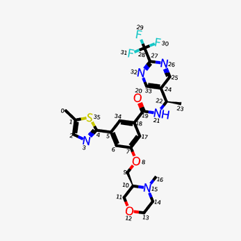 Cc1cnc(-c2cc(OC[C@@H]3COCCN3C)cc(C(=O)N[C@H](C)c3cnc(C(F)(F)F)nc3)c2)s1